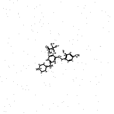 N#Cc1ccc(COc2ccnc(NC3CCNCC3)n2)c(F)c1.O=C(O)C(F)(F)F